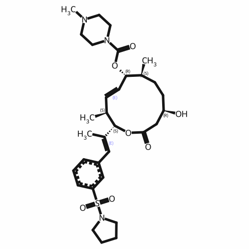 C/C(=C\c1cccc(S(=O)(=O)N2CCCC2)c1)[C@H]1OC(=O)C[C@H](O)CC[C@H](C)[C@@H](OC(=O)N2CCN(C)CC2)/C=C/[C@@H]1C